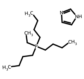 CCCC[P](CC)(CCCC)CCCC.c1c[nH]cn1